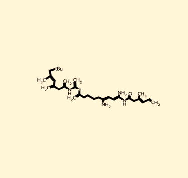 C=C/C=C(\C)CC(=O)N/C(N)=C/C=C(\N)CCCCC(=C)SC(=C)NC(=C)CC(=C)/C=C(\C)CC(C)(C)C